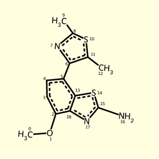 COc1ccc(-c2nc(C)sc2C)c2sc(N)nc12